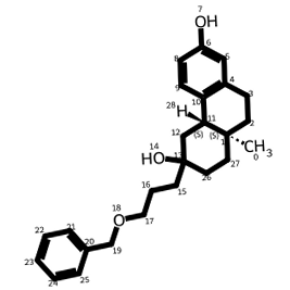 C[C@@]12CCc3cc(O)ccc3[C@H]1CC(O)(CCCOCc1ccccc1)CC2